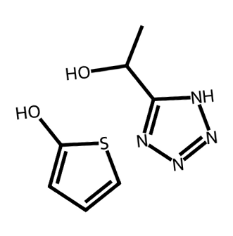 CC(O)c1nnn[nH]1.Oc1cccs1